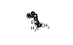 CCc1nc2c(C)cc(C)nc2n1Cc1ccc2c(c1)SCc1ccccc1C2=Cc1nnn[nH]1